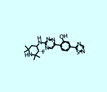 CC1(C)CC(Nc2ncc(-c3ccc(-c4ncns4)cc3O)nn2)[C@H](F)C(C)(C)N1